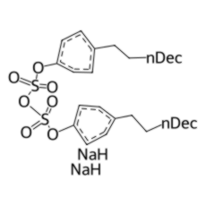 CCCCCCCCCCCCc1ccc(OS(=O)(=O)OS(=O)(=O)Oc2ccc(CCCCCCCCCCCC)cc2)cc1.[NaH].[NaH]